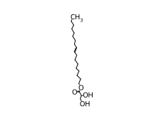 CCCCCCCC/C=C/CCCCCCCCOC(=O)[C@@H](O)CO